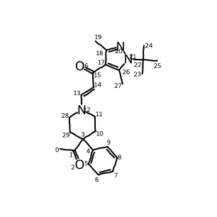 CC(=O)C1(c2ccccc2)CCN(C=CC(=O)c2c(C)nn(C(C)(C)C)c2C)CC1